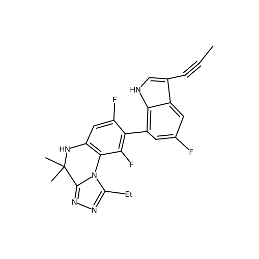 CC#Cc1c[nH]c2c(-c3c(F)cc4c(c3F)-n3c(CC)nnc3C(C)(C)N4)cc(F)cc12